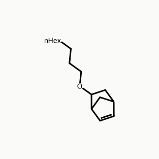 CCCCCCCCCOC1CC2C=CC1C2